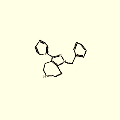 c1ccc(Cn2nc(-c3ccccc3)c3c2CCNCC3)cc1